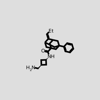 CCC=C1C2CC3(C(=O)N[C@H]4C[C@H](CN)C4)CC1CC(c1ccccc1)(C2)C3